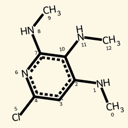 CNc1[c]c(Cl)nc(NC)c1NC